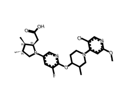 COc1cc(N2CCC(Oc3ncc(N4C[C@H](C)[C@@H](C)[C@H]4CC(=O)O)cc3F)C(C)C2)c(Cl)cn1